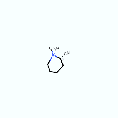 N#C[C@@H]1CCCCN1C(=O)O